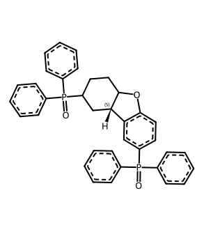 O=P(c1ccccc1)(c1ccccc1)c1ccc2c(c1)[C@@H]1CC(P(=O)(c3ccccc3)c3ccccc3)CCC1O2